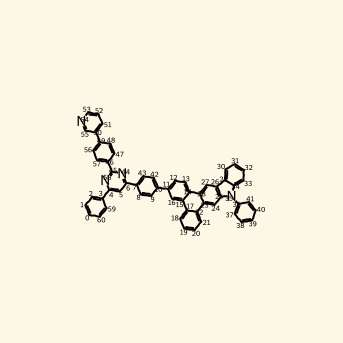 c1ccc(-c2cc(-c3ccc(-c4ccc5c(c4)c4ccccc4c4cc6c(cc54)c4ccccc4n6-c4ccccc4)cc3)nc(-c3ccc(-c4cccnc4)cc3)n2)cc1